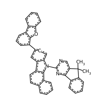 CC1(C)c2ccccc2-c2nc(-n3c4ccc(-c5cccc6c5oc5ccccc56)cc4c4ccc5ccccc5c43)ncc21